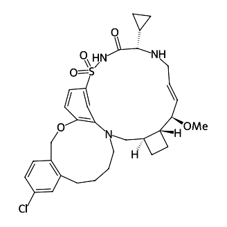 CO[C@@H]1/C=C/CN[C@@H](C2CC2)C(=O)NS(=O)(=O)c2ccc3c(c2)N(CCCCc2cc(Cl)ccc2CO3)C[C@@H]2CC[C@H]21